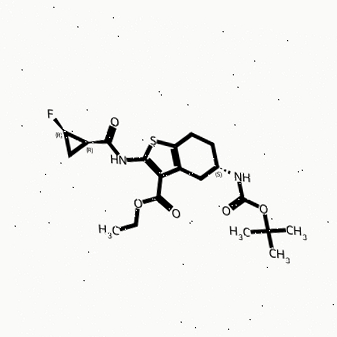 CCOC(=O)c1c(NC(=O)[C@H]2C[C@H]2F)sc2c1C[C@@H](NC(=O)OC(C)(C)C)CC2